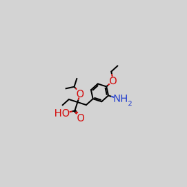 CCOc1ccc(CC(CC)(OC(C)C)C(=O)O)cc1N